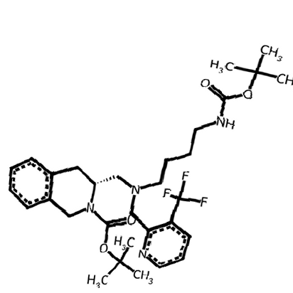 CC(C)(C)OC(=O)NCCCCN(Cc1ncccc1C(F)(F)F)C[C@H]1Cc2ccccc2CN1C(=O)OC(C)(C)C